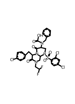 O=C1C(Cc2ccc(Cl)cc2)N2C(=O)C(N(Cc3ccccc3)C(=O)O)CN(S(=O)(=O)c3ccc(Cl)cc3Cl)C2CN1CC(F)F